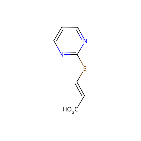 O=C(O)/C=C/Sc1ncccn1